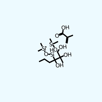 C=C(C)C(=O)O.CCCC(O)([SiH](O[Si](C)(C)C)O[Si](C)(C)C)C(C)(O)CO